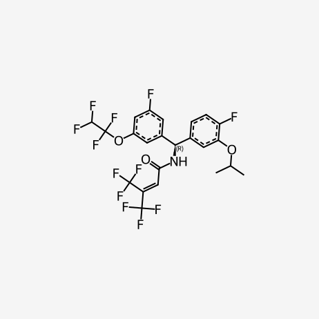 CC(C)Oc1cc([C@@H](NC(=O)C=C(C(F)(F)F)C(F)(F)F)c2cc(F)cc(OC(F)(F)C(F)F)c2)ccc1F